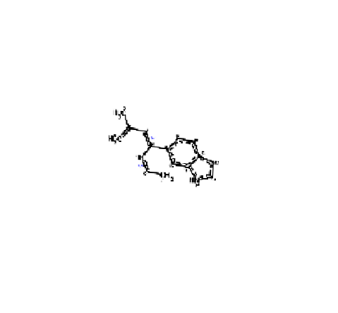 C=C(C)/C=C(\N=C/C)c1ccc2cc[nH]c2c1